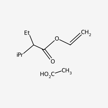 C=COC(=O)C(CC)C(C)C.CC(=O)O